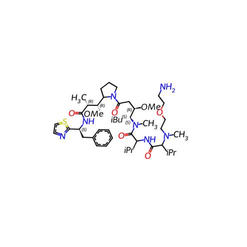 CC[C@H](C)[C@@H]([C@@H](CC(=O)N1CCCC1[C@H](OC)[C@@H](C)C(=O)N[C@@H](Cc1ccccc1)c1nccs1)OC)N(C)C(=O)C(NC(=O)C(C(C)C)N(C)CCOCCN)C(C)C